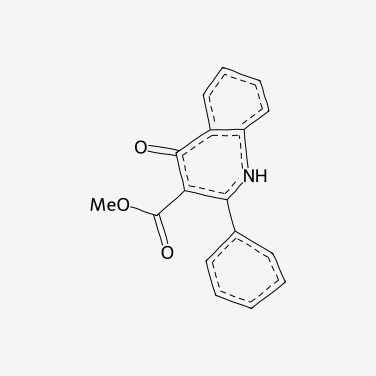 COC(=O)c1c(-c2ccccc2)[nH]c2ccccc2c1=O